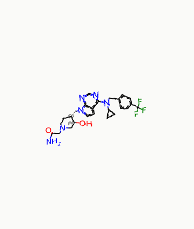 NC(=O)CN1CC[C@H](Cn2ccc3c(N(Cc4ccc(C(F)(F)F)cc4)C4CC4)ncnc32)[C@@H](O)C1